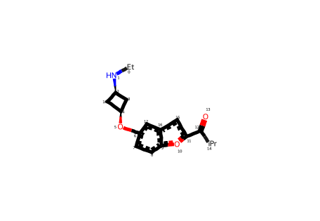 CCN[C@H]1C[C@@H](Oc2ccc3oc(C(=O)C(C)C)cc3c2)C1